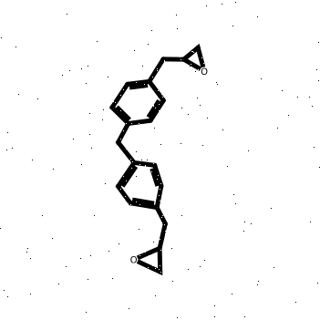 c1cc(CC2CO2)ccc1Cc1ccc(CC2CO2)cc1